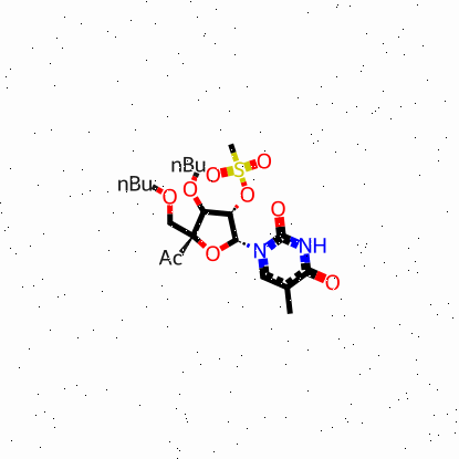 CCCCOC[C@@]1(C(C)=O)O[C@@H](n2cc(C)c(=O)[nH]c2=O)[C@@H](OS(C)(=O)=O)C1OCCCC